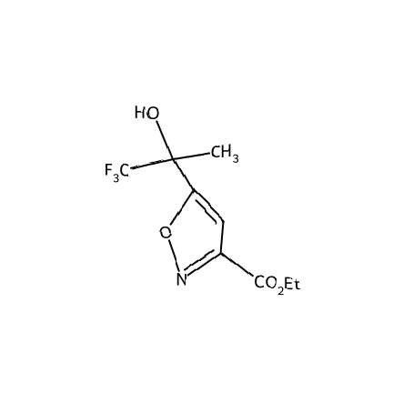 CCOC(=O)c1cc(C(C)(O)C(F)(F)F)on1